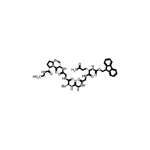 CC[C@H](C)[C@H](NC(=O)[C@H](C)NC(=O)CNC(=O)[C@H](CCC(N)=O)NC(=O)OCC1c2ccccc2-c2ccccc21)C(=O)NCC(=O)N[C@@H](CC(C)C)C(=O)N1CCC[C@H]1C(=O)NCC(=O)O